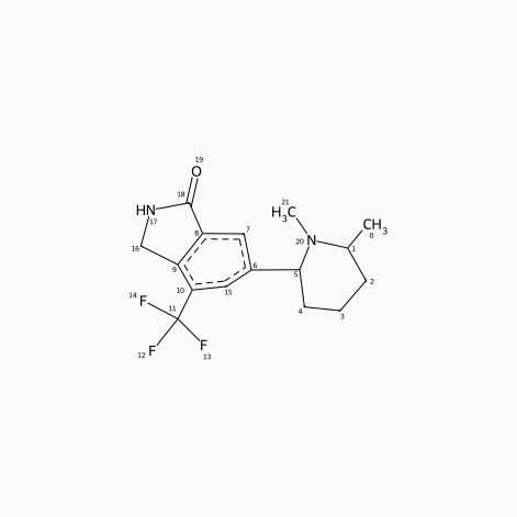 CC1CCCC(c2cc3c(c(C(F)(F)F)c2)CNC3=O)N1C